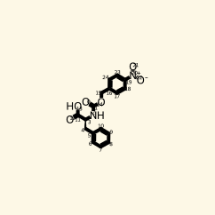 O=C(N[C@@H](Cc1ccccc1)C(=O)O)OCc1ccc([N+](=O)[O-])cc1